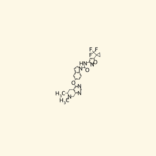 CC1Cc2c(ncnc2Oc2ccc3c(ccn3C(=O)Nc3cc(C4(C(F)(F)F)CC4)on3)c2)CN1C